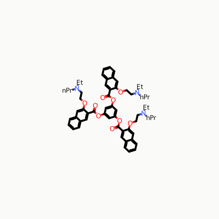 CCCN(CC)CCOc1cc2ccccc2cc1C(=O)Oc1cc(OC(=O)c2cc3ccccc3cc2OCCN(CC)CCC)cc(OC(=O)c2cc3ccccc3cc2OCCN(CC)CCC)c1